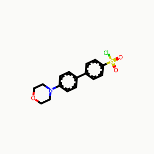 O=S(=O)(Cl)c1ccc(-c2ccc(N3CCOCC3)cc2)cc1